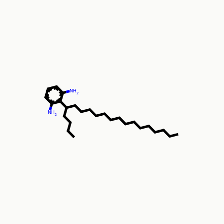 CCCCCCCCCCCCCCCC(CCCC)c1c(N)cccc1N